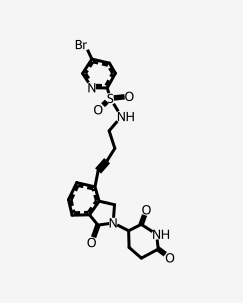 O=C1CCC(N2Cc3c(C#CCCNS(=O)(=O)c4ccc(Br)cn4)cccc3C2=O)C(=O)N1